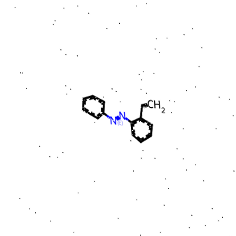 C=Cc1ccccc1/N=N/c1ccccc1